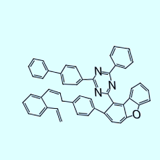 C=Cc1ccccc1/C=C\Cc1ccc(-c2ccc3oc4ccccc4c3c2-c2nc(-c3ccccc3)nc(-c3ccc(-c4ccccc4)cc3)n2)cc1